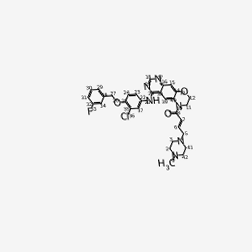 CN1CCN(C/C=C/C(=O)N2CCOc3cc4ncnc(Nc5ccc(OCc6cccc(F)c6)c(Cl)c5)c4cc32)CC1